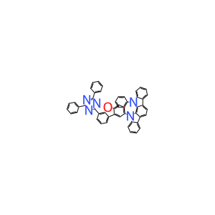 c1ccc(-c2nc(-c3ccccc3)nc(-c3cccc4c3oc3ccc(-n5c6ccccc6c6ccc7c8ccccc8n(-c8ccccc8)c7c65)cc34)n2)cc1